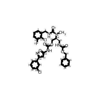 CN(C(=O)NCc1cccc(F)c1Cl)[C@@H](CNC(=O)OCc1ccccc1)COC(=O)Nc1cc(-c2cccc(Cl)c2)no1